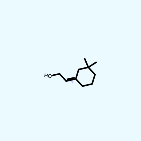 CC1(C)CCC/C(=C/CO)C1